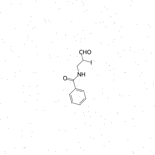 O=CC(I)CNC(=O)c1ccccc1